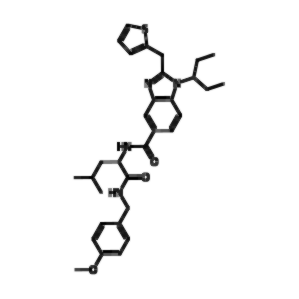 CCC(CC)n1c(Cc2cccs2)nc2cc(C(=O)NC(CC(C)C)C(=O)NCc3ccc(OC)cc3)ccc21